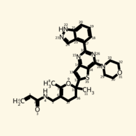 C=CC(=O)NCC1=C(C)OC(C)(c2cc3nc(-c4cccc5[nH]ncc45)nc(N4CCOCC4)c3s2)CC1